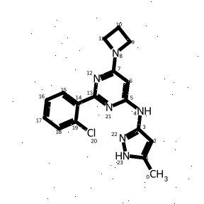 Cc1cc(Nc2cc(N3CCC3)nc(-c3ccccc3Cl)n2)n[nH]1